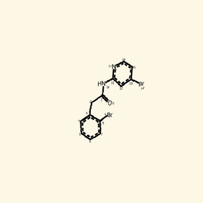 O=C(Cc1ccccc1Br)Nc1cc(Br)ccn1